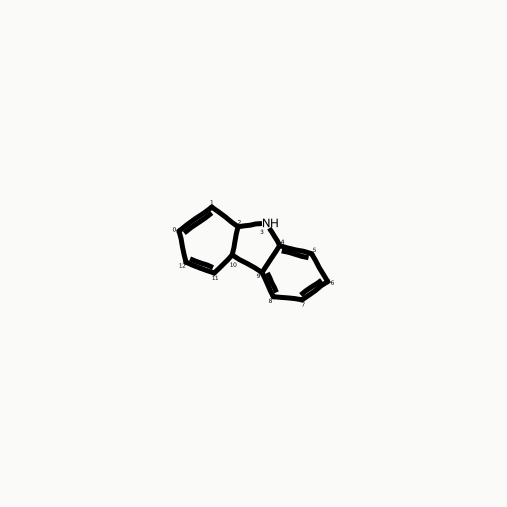 C1=CC2Nc3ccccc3C2C=C1